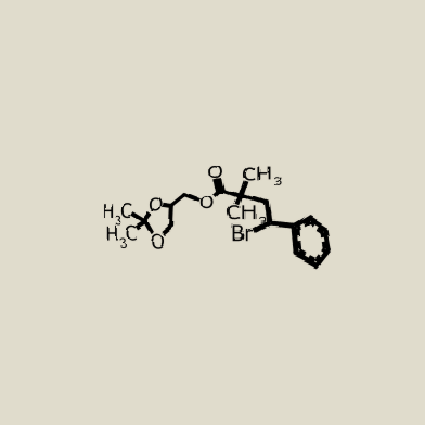 CC1(C)OCC(COC(=O)C(C)(C)CC(Br)c2ccccc2)O1